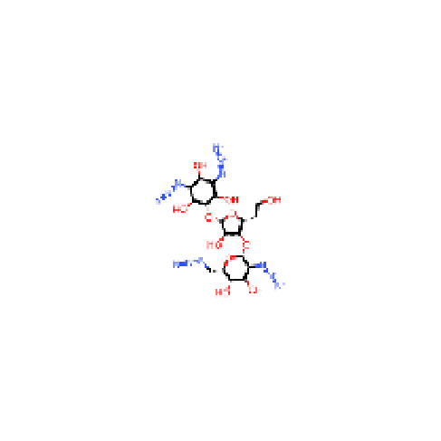 [N-]=[N+]=NC[C@@H]1O[C@H](O[C@H]2[C@@H](O)[C@H](O[C@H]3[C@H](O)C(N=[N+]=[N-])[C@H](O)C(N=[N+]=[N-])[C@@H]3O)O[C@@H]2CCO)C(N=[N+]=[N-])[C@@H](O)[C@@H]1O